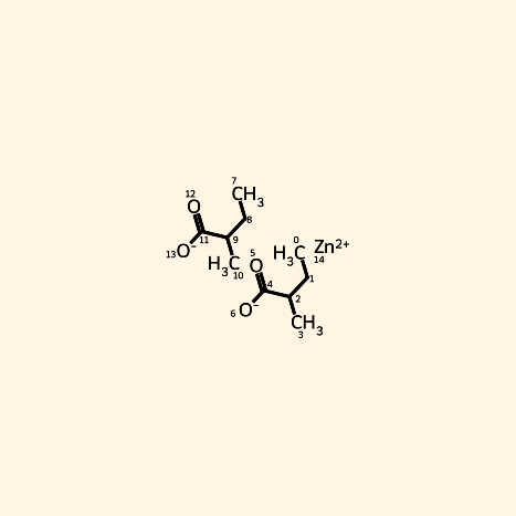 CCC(C)C(=O)[O-].CCC(C)C(=O)[O-].[Zn+2]